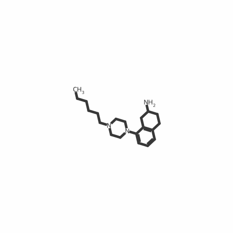 CCCCCCN1CCN(c2cccc3c2CC(N)CC3)CC1